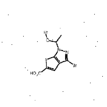 CCOC(C)n1nc(Br)c2cc(C(=O)O)sc21